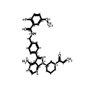 C=CC(=O)N1CCC[C@@H](n2nc(-c3ccc(CNC(=O)c4cc(OC(F)(F)F)ccc4F)cc3)c3c(N)ncnc32)C1